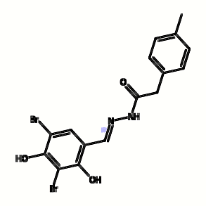 Cc1ccc(CC(=O)N/N=C/c2cc(Br)c(O)c(Br)c2O)cc1